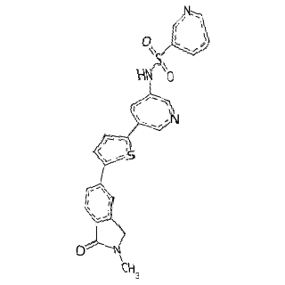 CN1Cc2cc(-c3ccc(-c4cncc(NS(=O)(=O)c5cccnc5)c4)s3)ccc2C1=O